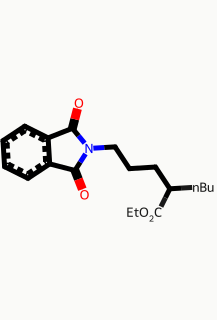 CCCCC(CCCN1C(=O)c2ccccc2C1=O)C(=O)OCC